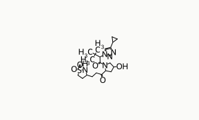 CC(C)(C)C(C(=O)N1CC(O)CC1C(=O)CCC1CCS(=O)(=O)N1)n1cc(C2CC2)nn1